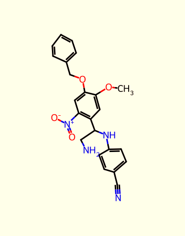 COc1cc(C(CN)Nc2ccc(C#N)cc2)c([N+](=O)[O-])cc1OCc1ccccc1